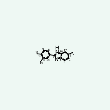 Cc1ccc2nc(-c3ccc(C)c(C)c3)[nH]c2c1